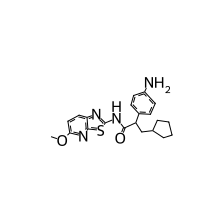 COc1ccc2nc(NC(=O)C(CC3CCCC3)c3ccc(N)cc3)sc2n1